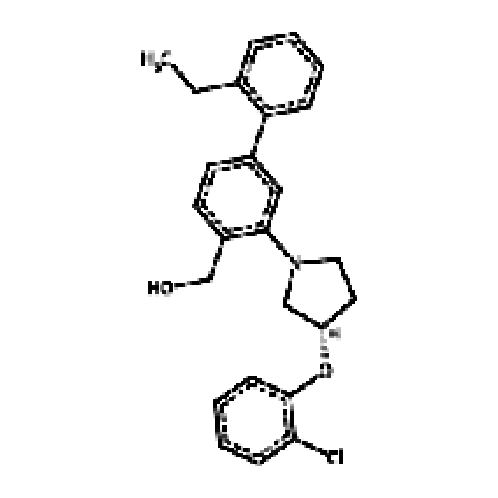 CCc1ccccc1-c1ccc(CO)c(N2CC[C@H](Oc3ccccc3Cl)C2)c1